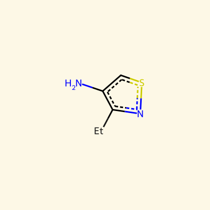 CCc1nscc1N